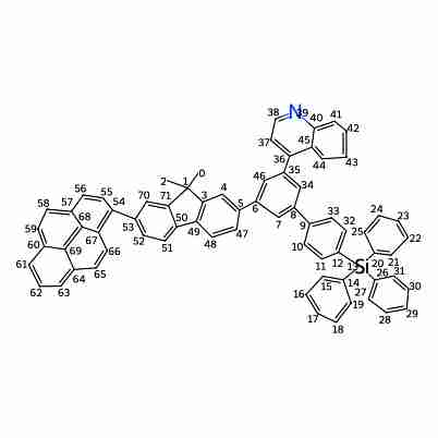 CC1(C)c2cc(-c3cc(-c4ccc([Si](c5ccccc5)(c5ccccc5)c5ccccc5)cc4)cc(-c4ccnc5ccccc45)c3)ccc2-c2ccc(-c3ccc4ccc5cccc6ccc3c4c56)cc21